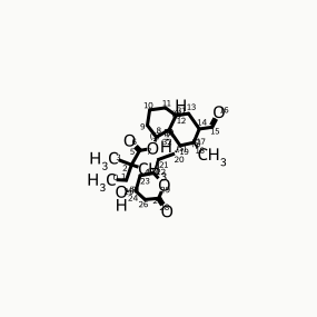 CCC(C)(C)C(=O)O[C@H]1CCC[C@H]2CC(C=O)[C@@H](C)[C@H](CC[C@@H]3C[C@@H](O)CC(=O)O3)[C@H]21